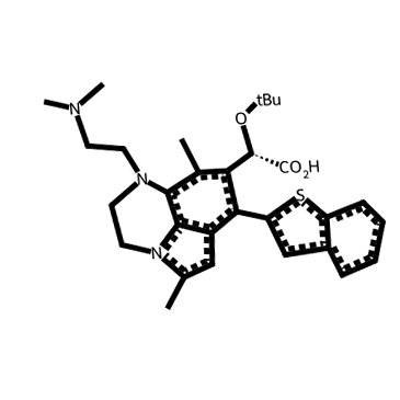 Cc1c([C@H](OC(C)(C)C)C(=O)O)c(-c2cc3ccccc3s2)c2cc(C)n3c2c1N(CCN(C)C)CC3